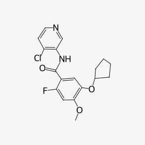 COc1cc(F)c(C(=O)Nc2cnccc2Cl)cc1OC1CCCC1